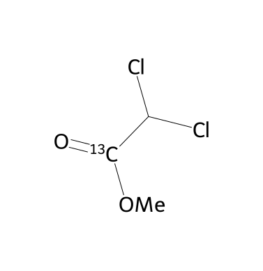 CO[13C](=O)C(Cl)Cl